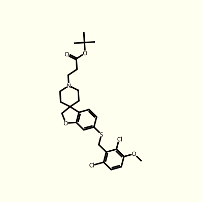 COc1ccc(Cl)c(CSc2ccc3c(c2)OCC32CCN(CCC(=O)OC(C)(C)C)CC2)c1Cl